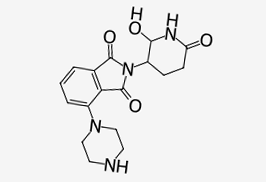 O=C1CCC(N2C(=O)c3cccc(N4CCNCC4)c3C2=O)C(O)N1